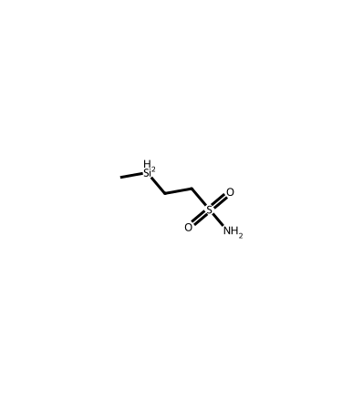 C[SiH2]CCS(N)(=O)=O